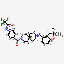 CC1(C)Cc2c(CN3CCC4(CC3)CCN(C(=O)c3ccc(NC(=O)C(F)(F)F)cc3)CC4)cccc2O1